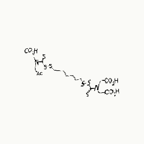 CC(=O)CN(CC(=O)O)C(=S)SSCCCCCCSSC(=S)N(CC(=O)O)CC(=O)O